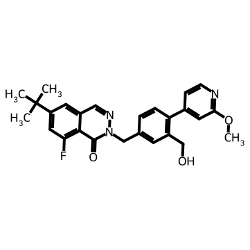 COc1cc(-c2ccc(Cn3ncc4cc(C(C)(C)C)cc(F)c4c3=O)cc2CO)ccn1